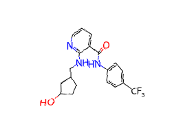 O=C(Nc1ccc(C(F)(F)F)cc1)c1cccnc1NCC1CCC(O)C1